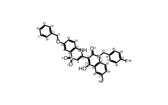 O=c1c(C2=CS(=O)(=O)c3cc(OCc4ccccc4)ccc3N2)c(O)c2cc(F)ccc2n1Cc1ccc(F)cc1